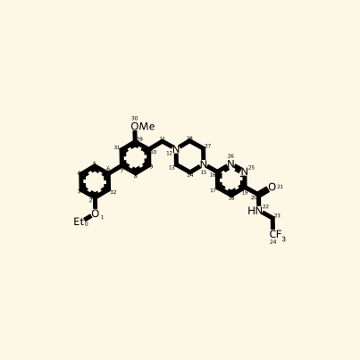 CCOc1cccc(-c2ccc(CN3CCN(c4ccc(C(=O)NCC(F)(F)F)nn4)CC3)c(OC)c2)c1